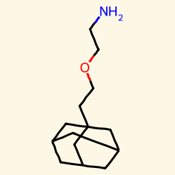 NCCOCCC12CC3CC(CC(C3)C1)C2